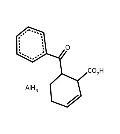 O=C(O)C1C=CCCC1C(=O)c1ccccc1.[AlH3]